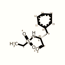 CCS(=O)(=O)N[C@@H]([C]=O)Cc1ccccc1